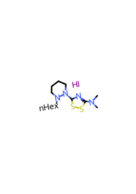 CCCCCCN1CCCCN1C1N=C(N(C)C)SS1.I